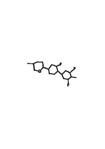 CC1CCC(C2CCC(C3CC(F)C(C)C(F)C3)C(F)C2)OC1